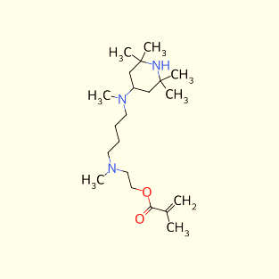 C=C(C)C(=O)OCCN(C)CCCCN(C)C1CC(C)(C)NC(C)(C)C1